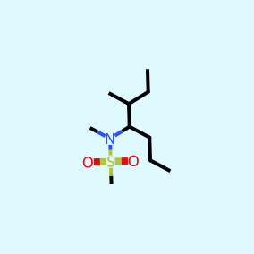 CCCC(C(C)CC)N(C)S(C)(=O)=O